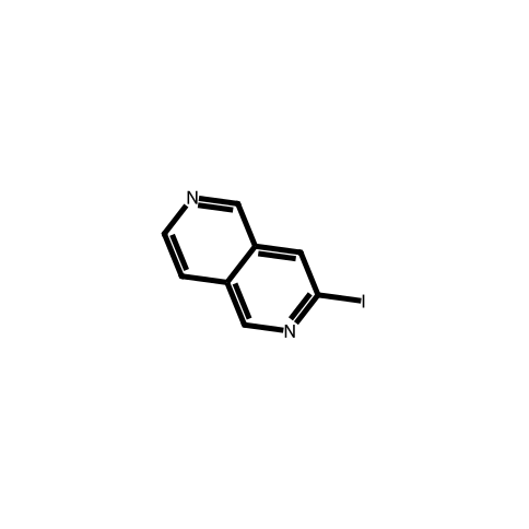 Ic1cc2cnccc2cn1